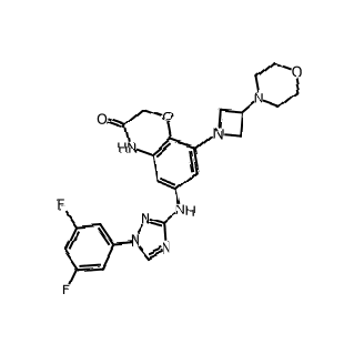 O=C1COc2c(cc(Nc3ncn(-c4cc(F)cc(F)c4)n3)cc2N2CC(N3CCOCC3)C2)N1